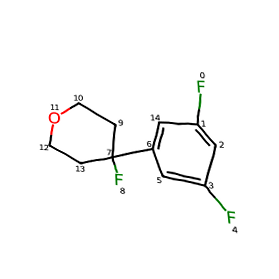 Fc1cc(F)cc(C2(F)CCOCC2)c1